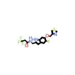 O=C(CC(F)(F)F)NCc1cc2cc(F)c(OCc3cscn3)cc2[nH]1